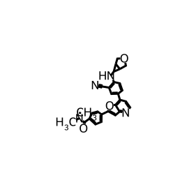 CN(C)C(=O)c1ccc(-c2cc3nccc(-c4ccc(NC5C6COCC65)c(C#N)c4)c3o2)cc1